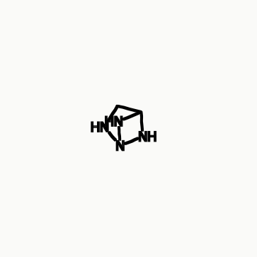 C1NN2NC1N2